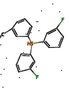 Fc1cccc([SH](c2cccc(F)c2)c2cccc(C(F)(F)F)c2)c1